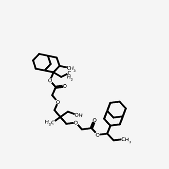 CCC(OC(=O)COCC(C)(CO)COCC(=O)OC1(CC)C(C)CC2CCCC1C2)C1CC2CCCC(C2)C1